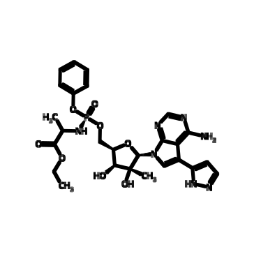 CCOC(=O)C(C)N[P@@](=O)(OC[C@H]1O[C@@H](n2cc(-c3ccn[nH]3)c3c(N)ncnc32)[C@](C)(O)[C@H]1O)Oc1ccccc1